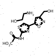 NCCO.O=C(O)C(=O)Nc1nc(-c2cc(CO)no2)cs1